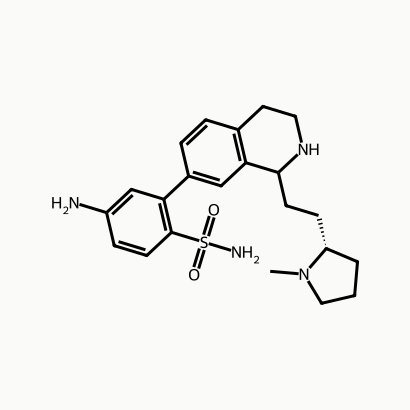 CN1CCC[C@H]1CCC1NCCc2ccc(-c3cc(N)ccc3S(N)(=O)=O)cc21